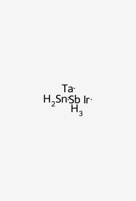 [Ir].[SbH3].[SnH2].[Ta]